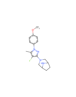 Cc1c(F)c(N2CC3CCC(C2)N3)nn1-c1ccc(OC(F)(F)F)cc1